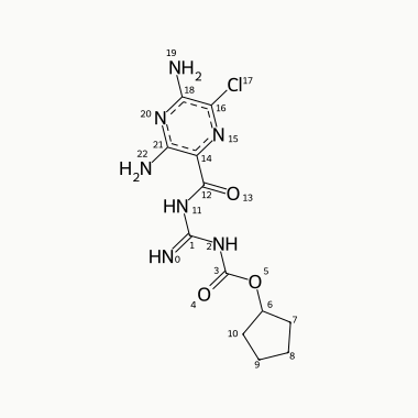 N=C(NC(=O)OC1CCCC1)NC(=O)c1nc(Cl)c(N)nc1N